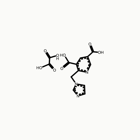 O=C(O)C(=O)O.O=C(O)c1cnc(Cn2ccnc2)c(C(=O)O)c1